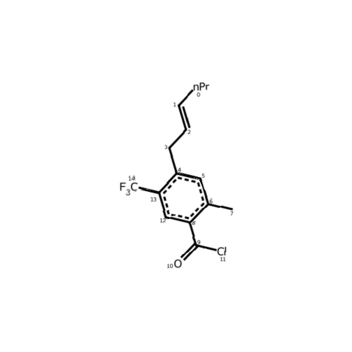 CCCC=CCc1cc(C)c(C(=O)Cl)cc1C(F)(F)F